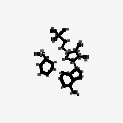 Nc1ncnc2c1ncn2[C@@H]1O[C@H](COP(=O)(O)O)[C@@H](O)[C@H]1O.O=C(O)c1cccnc1